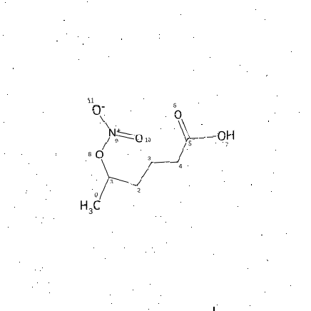 CC(CCCC(=O)O)O[N+](=O)[O-]